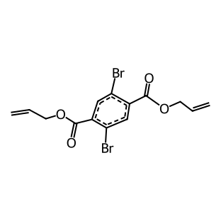 C=CCOC(=O)c1cc(Br)c(C(=O)OCC=C)cc1Br